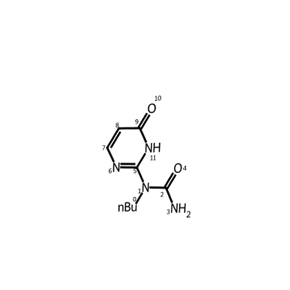 CCCCN(C(N)=O)c1nccc(=O)[nH]1